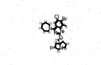 Cc1c(Br)c(Cl)cc2c(N3CCCCCC3)nc(OC[C@@]34CCCN3C[C@H](F)C4)nc12